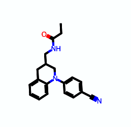 CCC(=O)NCC1Cc2ccccc2N(c2ccc(C#N)cc2)C1